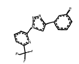 Fc1cccc(-c2cn(-c3cccc(C(F)(F)F)n3)nn2)c1